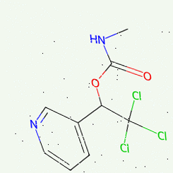 CNC(=O)OC(c1cccnc1)C(Cl)(Cl)Cl